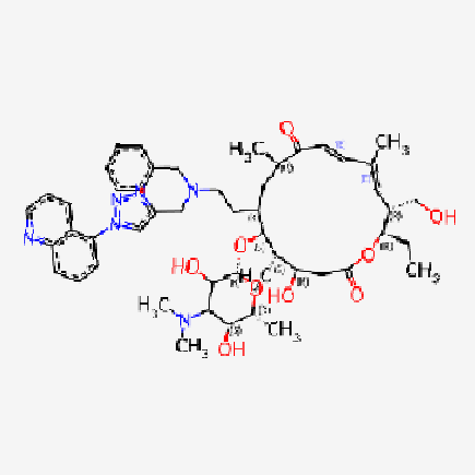 CC[C@H]1OC(=O)C[C@@H](O)[C@H](C)[C@@H](O[C@@H]2O[C@H](C)[C@@H](O)C(N(C)C)C2O)[C@@H](CCN(Cc2ccccc2)Cc2cn(-c3cccc4ncccc34)nn2)C[C@@H](C)C(=O)/C=C/C(C)=C/[C@@H]1CO